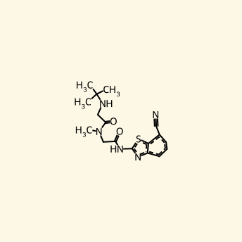 CN(CC(=O)Nc1nc2cccc(C#N)c2s1)C(=O)CNC(C)(C)C